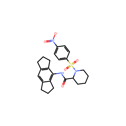 O=C(Nc1c2c(cc3c1CCC3)CCC2)C1CCCCN1S(=O)(=O)c1ccc([N+](=O)[O-])cc1